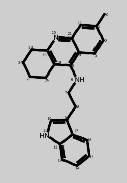 Cc1ccc2c(NCCc3c[nH]c4ccccc34)c3c(nc2c1)CCCC3